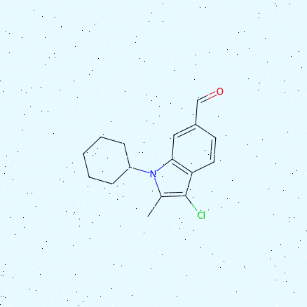 Cc1c(Cl)c2ccc(C=O)cc2n1C1CCCCC1